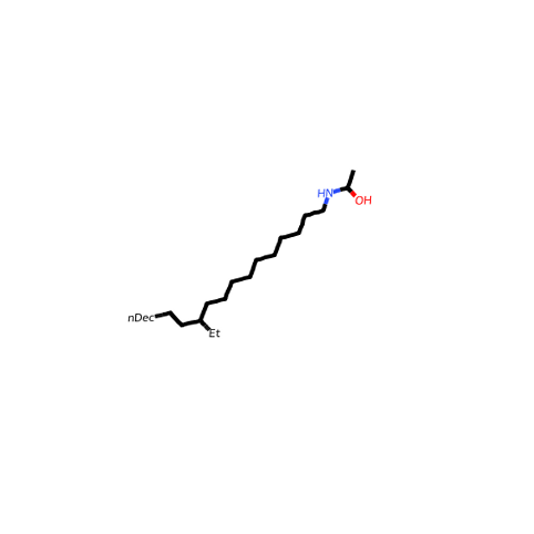 CCCCCCCCCCCCC(CC)CCCCCCCCCCNC(C)O